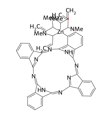 C=C[CH](NC)[Zn]([c]1cccc2c3nc4nc(nc5[nH]c(nc6nc(nc([nH]3)c12)-c1ccccc1-6)c1ccccc51)-c1ccccc1-4)([CH](C=C)NC)([CH](C=C)NC)[CH](C=C)NC